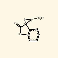 CCOC(=O)[C@H]1C[C@]12C(=O)Nc1ccccc12